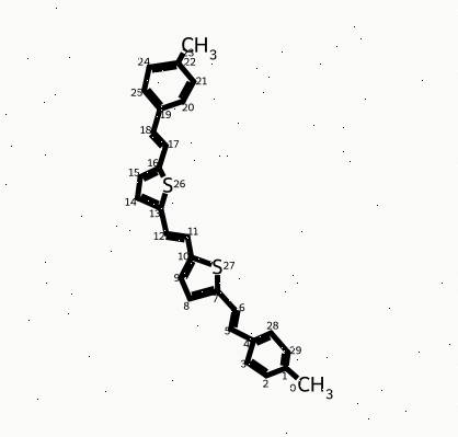 Cc1ccc(/C=C/c2ccc(/C=C/c3ccc(/C=C/c4ccc(C)cc4)s3)s2)cc1